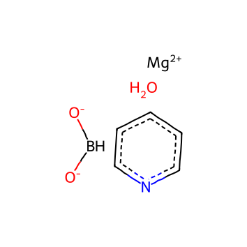 O.[Mg+2].[O-]B[O-].c1ccncc1